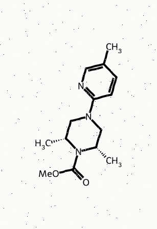 COC(=O)N1[C@H](C)CN(c2ccc(C)cn2)C[C@@H]1C